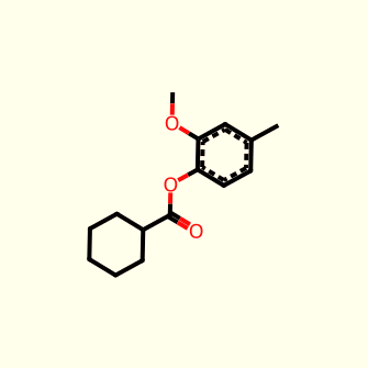 COc1cc(C)ccc1OC(=O)C1CCCCC1